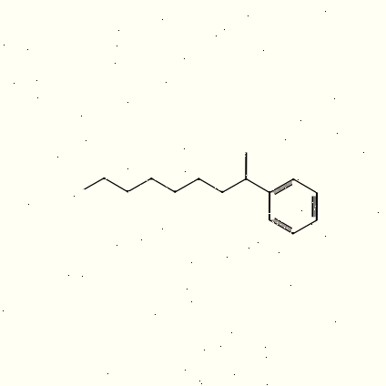 CC(C)CCCCCCC(C)c1ccccc1